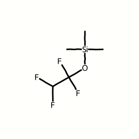 C[Si](C)(C)OC(F)(F)C(F)F